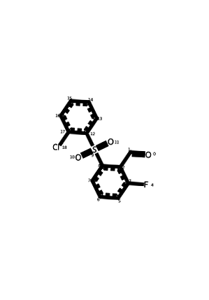 O=Cc1c(F)cccc1S(=O)(=O)c1ccccc1Cl